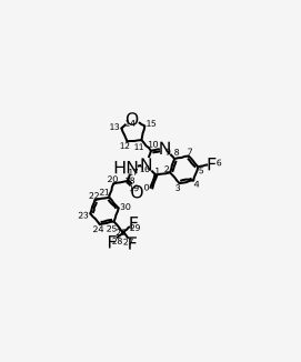 C=C1c2ccc(F)cc2N=C(C2CCOC2)N1NC(=O)Cc1cccc(C(F)(F)F)c1